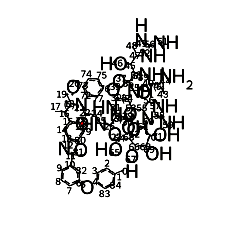 Cc1ccc(Oc2cccc(-c3nc4cc(C(C)[C@@H]([C]=O)N(C(=O)CNC(=O)[C@H](CO)NC(=O)[C@@H](NC(=O)[C@@H](NC(=O)[C@H](C)N)C(O)C5CNC(=N)N5)C(O)C5CNC(=N)N5C5OC(CO)C(O)C(O)C5O)c5ccccc5)ccc4o3)c2)cc1